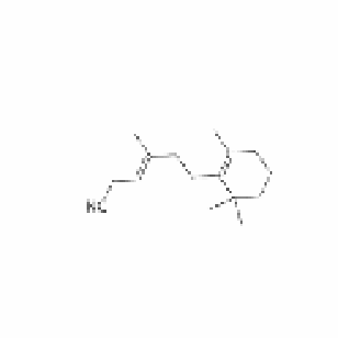 CC(=CCC#N)CCC1=C(C)CCCC1(C)C